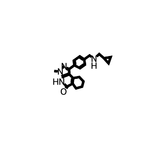 Cn1nc(-c2ccc(CNCC3CC3)cc2)c2c3c(c(=O)[nH]c21)CCCC3